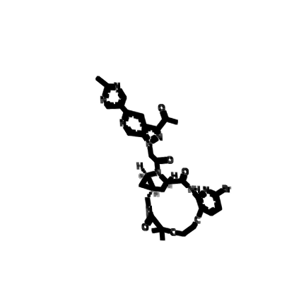 CC(=O)c1nn(CC(=O)N2[C@H]3C[C@@]4(CNC(=O)C(C)(C)CCCCc5ccc(Br)nc5NC3=O)C[C@@H]24)c2cnc(-c3cnc(C)nc3)cc12